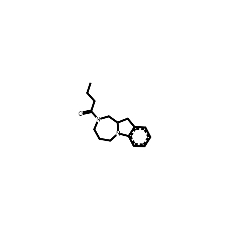 CCCC(=O)N1CCCN2c3ccccc3CC2C1